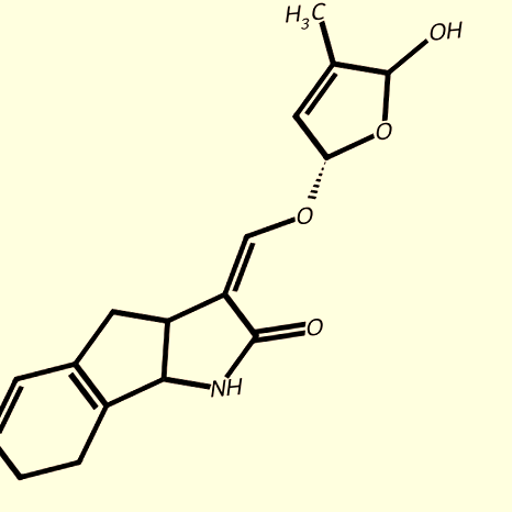 CC1=C[C@@H](OC=C2C(=O)NC3C4=C(C=CCC4)CC23)OC1O